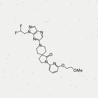 COCCOc1cccc(N2CCC3(CCN(c4cnc5cnn(CC(F)F)c5n4)CC3)C2=O)n1